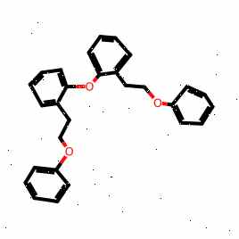 c1ccc(OCCc2ccccc2Oc2ccccc2CCOc2ccccc2)cc1